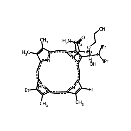 CCCCC(C(N)=O)n1c2cc3nc(cc4[nH]c(cc5nc(cc1c([PH](O)(OCCC#N)N(C(C)C)C(C)C)c2C)C(CC)=C5C)c(C)c4CC)C(C)=C3C